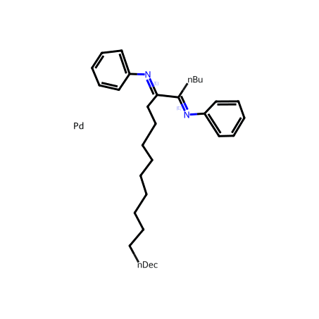 CCCCCCCCCCCCCCCCCCCC(=N\c1ccccc1)/C(CCCC)=N/c1ccccc1.[Pd]